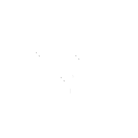 CN1c2ccncc2N(C)[C@@H]2CCCCC21